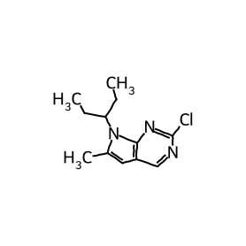 CCC(CC)n1c(C)cc2cnc(Cl)nc21